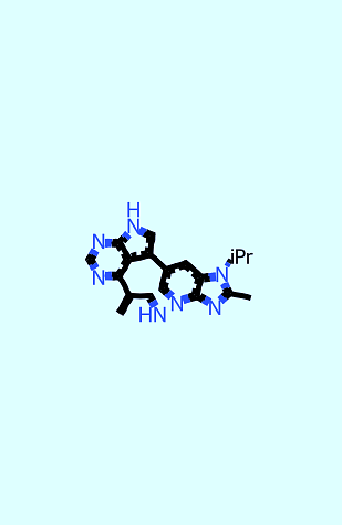 C=C(C=N)c1ncnc2[nH]cc(-c3cnc4nc(C)n(C(C)C)c4c3)c12